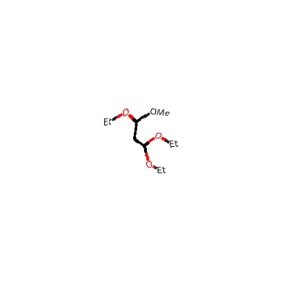 CCOC(CC(OCC)OCC)OC